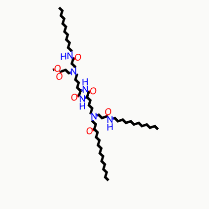 CCCCCCCCCCCCCC(=O)CCN(CCCCC1NC(=O)C(CCCCN(CCC(=O)NCCCCCCCCCCCC)CCC(=O)OC)NC1=O)CCC(=O)NCCCCCCCCCCCC